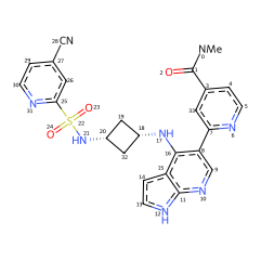 CNC(=O)c1ccnc(-c2cnc3[nH]ccc3c2N[C@H]2C[C@@H](NS(=O)(=O)c3cc(C#N)ccn3)C2)c1